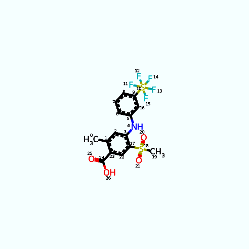 Cc1cc(Nc2cccc(S(F)(F)(F)(F)F)c2)c(S(C)(=O)=O)cc1C(=O)O